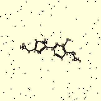 COc1ccc(-c2nc(CO)c[nH]2)cc1F